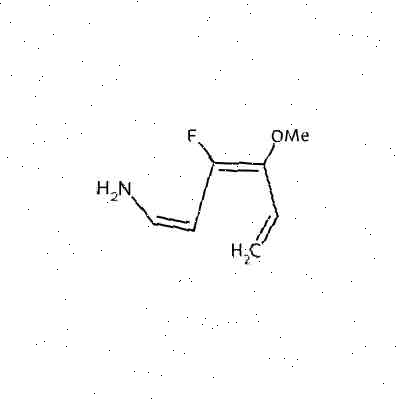 C=C/C(OC)=C(F)\C=C/N